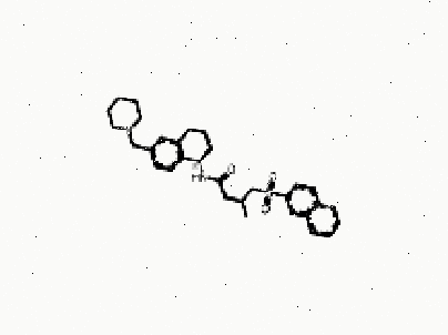 CC(CC(=O)N[C@@H]1CCCc2cc(CN3CCCCC3)ccc21)CS(=O)(=O)c1ccc2ccccc2c1